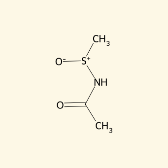 CC(=O)N[S+](C)[O-]